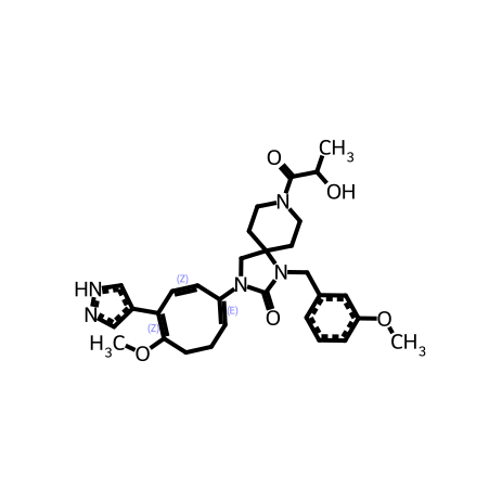 CO/C1=C(c2cn[nH]c2)/C=C\C(N2CC3(CCN(C(=O)C(C)O)CC3)N(Cc3cccc(OC)c3)C2=O)=C/CC1